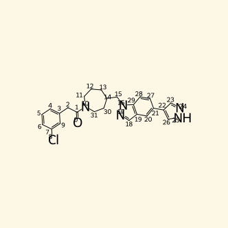 O=C(Cc1cccc(Cl)c1)N1CCCC(Cn2ncc3cc(-c4cn[nH]c4)ccc32)CC1